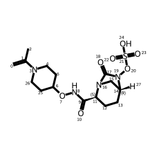 C=C(C)N1CCC(ONC(=O)[C@@H]2CC[C@@H]3CN2C(=O)N3OS(=O)(=O)O)CC1